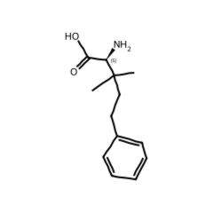 CC(C)(CCc1ccccc1)[C@H](N)C(=O)O